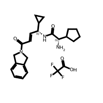 N[C@H](C(=O)N[C@H](C=CC(=O)N1Cc2ccccc2C1)C1CC1)C1CCCC1.O=C(O)C(F)(F)F